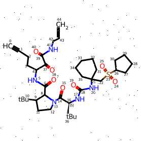 C#CCCC(NC(=O)C1C(C(C)(C)C)CCN1C(=O)[C@@H](NC(=O)NC1(CS(=O)(=O)C2CCCC2)CCCCC1)C(C)(C)C)C(=O)C(=O)NCC=C